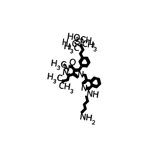 CC(C)Cc1nn(C)c(=O)c2c(-c3cccc(CCC(C)(C)[Si](C)(C)O)c3)n(Cc3cnc(NCCCCCN)c4ccccc34)cc12